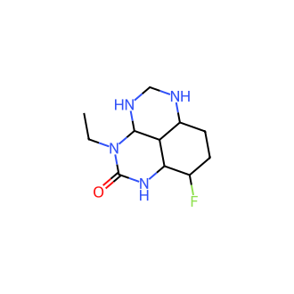 CCN1C(=O)NC2C(F)CCC3NCNC1C32